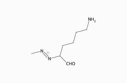 C/N=N/C(C=O)CCCCN